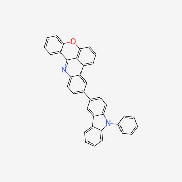 c1ccc(-n2c3ccccc3c3cc(-c4ccc5nc6c7c(cccc7c5c4)Oc4ccccc4-6)ccc32)cc1